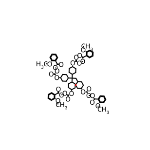 COc1ccccc1C(=O)OOC(=O)OC1CCC(CC(C2CCC(OC(=O)OOC(=O)c3ccccc3OC)CC2)(C2CCC(OC(=O)OOC(=O)c3ccccc3OC)CC2)C2CCC(OC(=O)OOC(=O)c3ccccc3OC)CC2)CC1